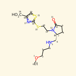 CCOCCCNC[C@H]1CCC(=O)N1CCSc1nc(C(=O)O)cs1